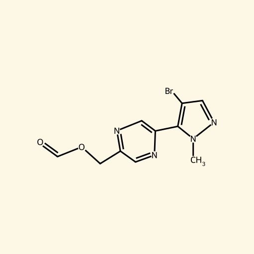 Cn1ncc(Br)c1-c1cnc(COC=O)cn1